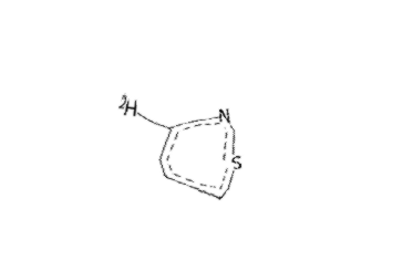 [2H]c1ccsn1